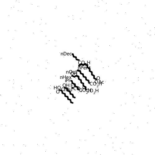 CC(C)CCCCCCC(=O)O.CCCCC(CC)C(=O)O.CCCCC/C=C\C/C=C\CCCCCCCC(=O)OC(C)=O.CCCCCCCC(=O)O.CCCCCCCC/C=C\CCCCCCCC(=O)O.CCCCCCCCCC(=O)O.CCCCCCCCCCCCCCCC(=O)O.CCCCCC[C@@H](O)C/C=C\CCCCCCCC(=O)O